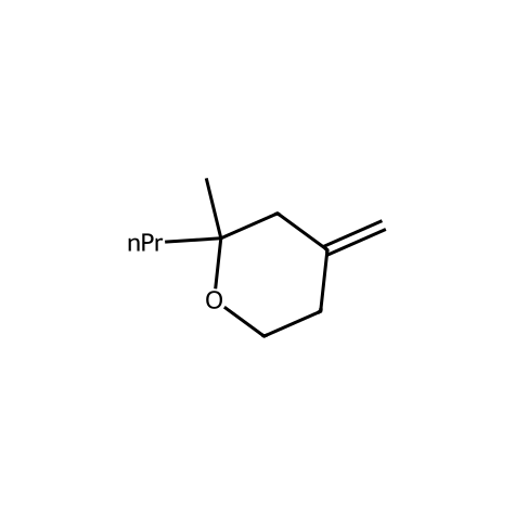 C=C1CCOC(C)(CCC)C1